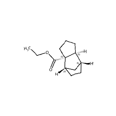 CCOC(=O)[C@]12CCC[C@H]1[C@@H]1CC[C@H]2C1